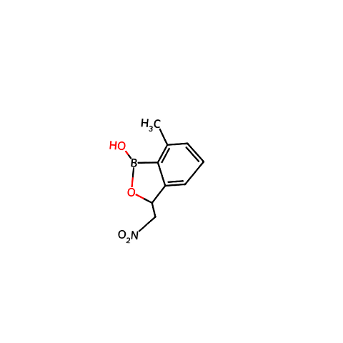 Cc1cccc2c1B(O)OC2C[N+](=O)[O-]